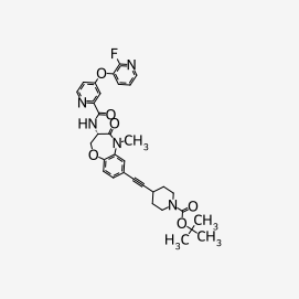 CN1C(=O)[C@@H](NC(=O)c2cc(Oc3cccnc3F)ccn2)COc2ccc(C#CC3CCN(C(=O)OC(C)(C)C)CC3)cc21